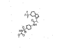 COC(=O)NS(=O)(=O)c1ccc(NC(=O)C(C)n2ccc3ccc(C(F)(F)F)cc32)cc1